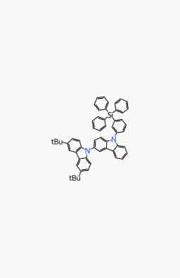 CC(C)(C)c1ccc2c(c1)c1cc(C(C)(C)C)ccc1n2-c1ccc2c(c1)c1ccccc1n2-c1cccc([Si](c2ccccc2)(c2ccccc2)c2ccccc2)c1